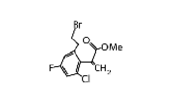 C=C(C(=O)OC)c1c(Cl)cc(F)cc1CCBr